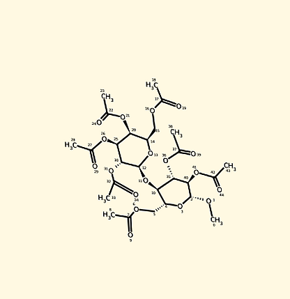 CO[C@@H]1O[C@H](COC(C)=O)[C@@H](O[C@@H]2O[C@H](COC(C)=O)[C@H](OC(C)=O)[C@H](OC(C)=O)[C@H]2OC(C)=O)[C@H](OC(C)=O)[C@H]1OC(C)=O